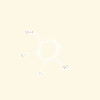 CCc1c(OC)ccc(N=O)c1C(C)=O